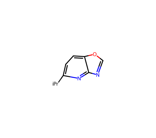 CC(C)c1ccc2ocnc2n1